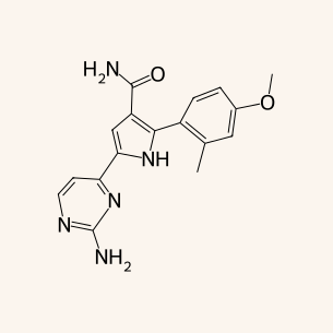 COc1ccc(-c2[nH]c(-c3ccnc(N)n3)cc2C(N)=O)c(C)c1